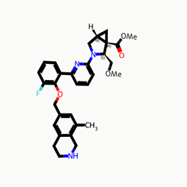 COC[C@H]1N(c2cccc(-c3cccc(F)c3OCc3cc(C)c4c(c3)CCNC4)n2)C[C@@H]2C[C@@]21C(=O)OC